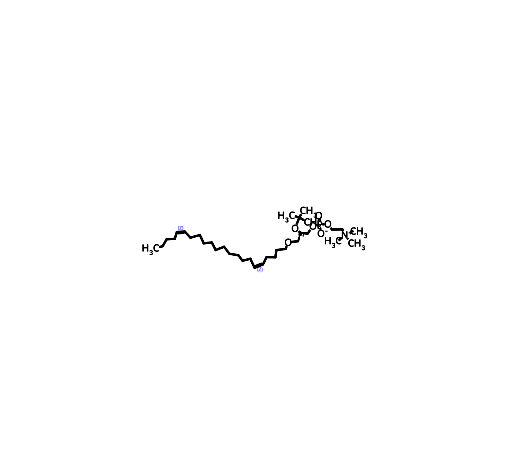 CCCC/C=C\CCCCCCCCCC/C=C\CCCCOC[C@H](COP(=O)([O-])OCC[N+](C)(C)C)OC(C)(C)C